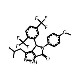 COc1ccc(N2C(=O)c3[nH]nc(CC(C)C)c3C2c2cc(C(F)(F)F)ccc2C(F)(F)F)cc1